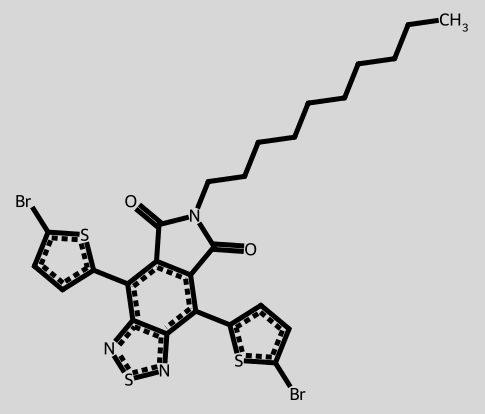 CCCCCCCCCCN1C(=O)c2c(c(-c3ccc(Br)s3)c3nsnc3c2-c2ccc(Br)s2)C1=O